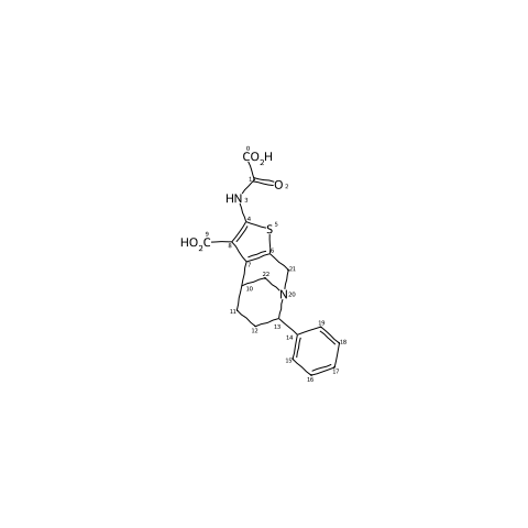 O=C(O)C(=O)Nc1sc2c(c1C(=O)O)C1CCC(c3ccccc3)N(C2)C1